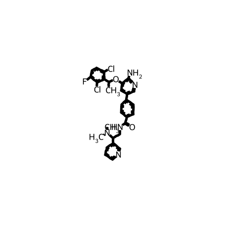 CC(Oc1cc(-c2ccc(C(=O)NCC(c3cccnc3)N(C)C)cc2)cnc1N)c1c(Cl)ccc(F)c1Cl